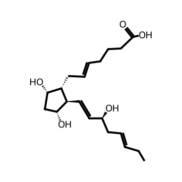 CCC=CC[C@H](O)C=C[C@@H]1[C@@H](CC=CCCCC(=O)O)[C@@H](O)C[C@H]1O